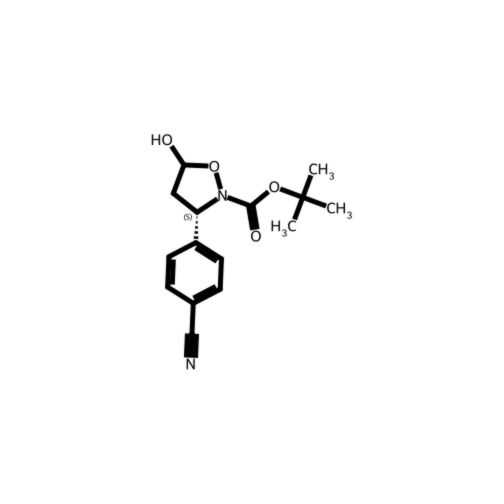 CC(C)(C)OC(=O)N1OC(O)C[C@H]1c1ccc(C#N)cc1